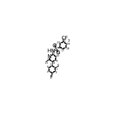 Cc1cc(F)ccc1-c1ccc(NS(=O)(=O)c2cccc(C(F)(F)F)c2)nc1C